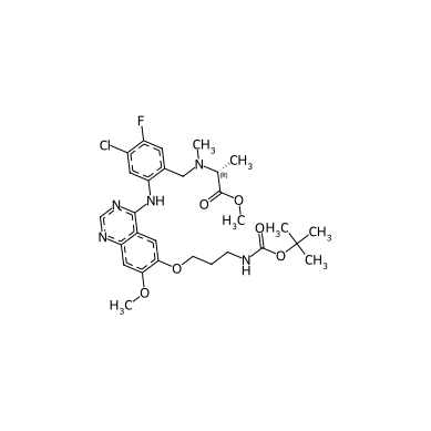 COC(=O)[C@@H](C)N(C)Cc1cc(F)c(Cl)cc1Nc1ncnc2cc(OC)c(OCCCNC(=O)OC(C)(C)C)cc12